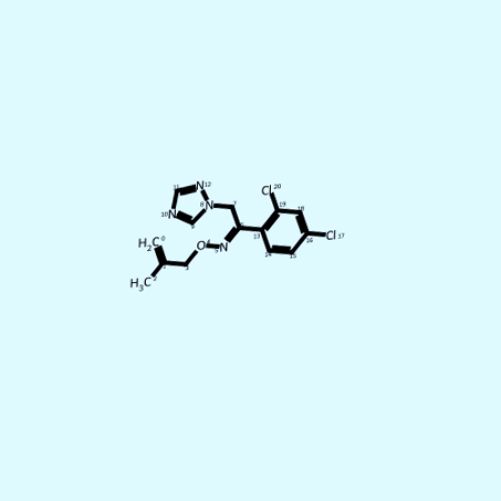 C=C(C)CON=C(Cn1cncn1)c1ccc(Cl)cc1Cl